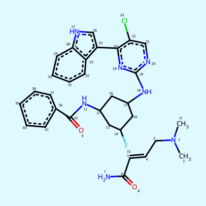 CN(C)C/C=C/C(N)=O.O=C(NC1CC(F)CC(Nc2ncc(Cl)c(-c3c[nH]c4ccccc34)n2)C1)c1ccccc1